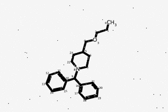 CCCOCC1CCN(C(c2ccccc2)c2ccccc2)CC1